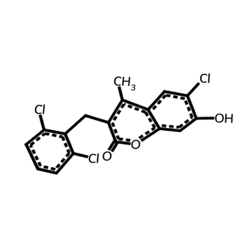 Cc1c(Cc2c(Cl)cccc2Cl)c(=O)oc2cc(O)c(Cl)cc12